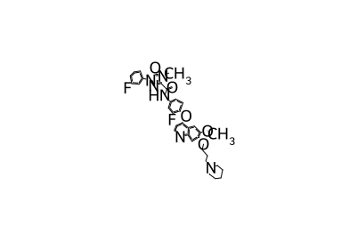 COc1cc2c(Oc3ccc(NC(=O)c4nn(-c5cccc(F)c5)c(=O)n4C)cc3F)ccnc2cc1OCCCN1CCCCC1